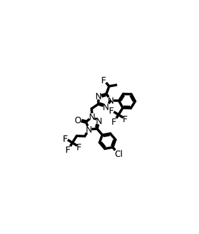 CC(F)c1nc(Cn2nc(-c3ccc(Cl)cc3)n(CCC(F)(F)F)c2=O)nn1-c1ccccc1C(F)(F)F